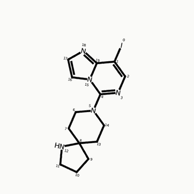 Ic1cnc(N2CCC3(CCCN3)CC2)n2ccnc12